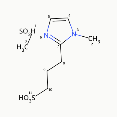 CS(=O)(=O)O.Cn1ccnc1CCCS(=O)(=O)O